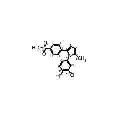 Cc1ccc(-c2ccc(S(C)(=O)=O)cc2)n1-c1ccc(F)c(Cl)c1